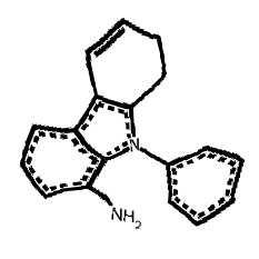 Nc1cccc2c3c(n(-c4ccccc4)c12)CCC=C3